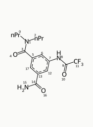 CCCN(CCC)C(=O)c1cc(NC(=O)C(F)(F)F)cc(C(N)=O)c1